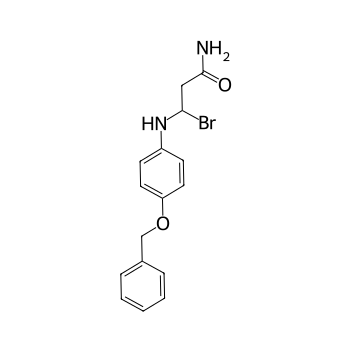 NC(=O)CC(Br)Nc1ccc(OCc2ccccc2)cc1